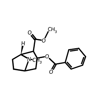 COC(=O)C1C(OC(=O)c2ccccc2)CC2CC[C@H]1N2C